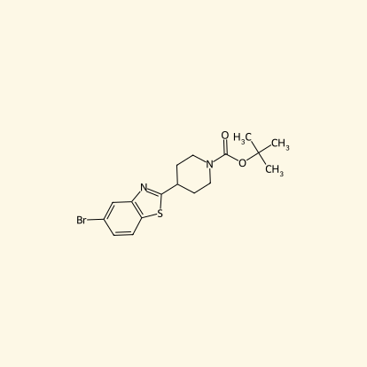 CC(C)(C)OC(=O)N1CCC(c2nc3cc(Br)ccc3s2)CC1